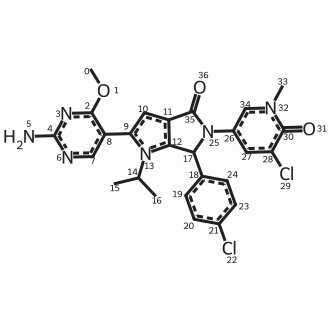 COc1nc(N)ncc1-c1cc2c(n1C(C)C)C(c1ccc(Cl)cc1)N(c1cc(Cl)c(=O)n(C)c1)C2=O